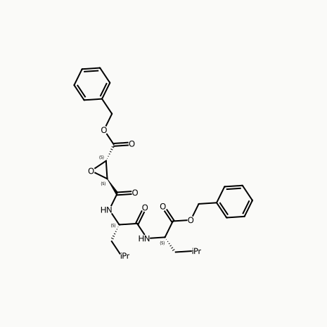 CC(C)C[C@H](NC(=O)[C@H]1O[C@@H]1C(=O)OCc1ccccc1)C(=O)N[C@@H](CC(C)C)C(=O)OCc1ccccc1